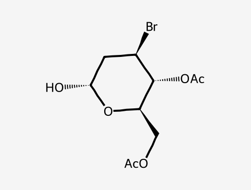 CC(=O)OC[C@H]1O[C@H](O)C[C@@H](Br)[C@@H]1OC(C)=O